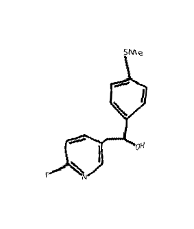 CSc1ccc(C(O)c2ccc(F)nc2)cc1